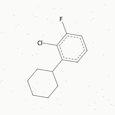 Fc1cccc(C2CCCCC2)c1Cl